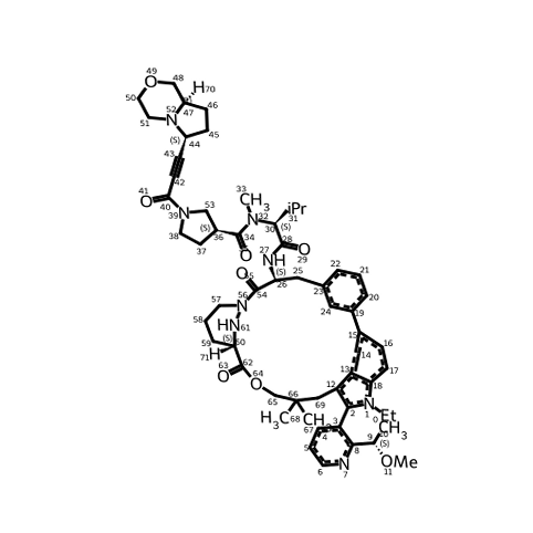 CCn1c(-c2cccnc2[C@H](C)OC)c2c3cc(ccc31)-c1cccc(c1)C[C@H](NC(=O)[C@H](C(C)C)N(C)C(=O)[C@H]1CCN(C(=O)C#C[C@@H]3CC[C@@H]4COCCN43)C1)C(=O)N1CCC[C@H](N1)C(=O)OCC(C)(C)C2